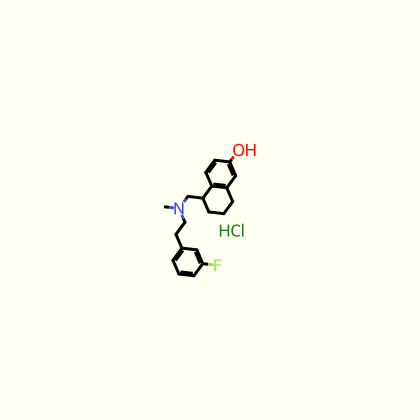 CN(CCc1cccc(F)c1)CC1CCCc2cc(O)ccc21.Cl